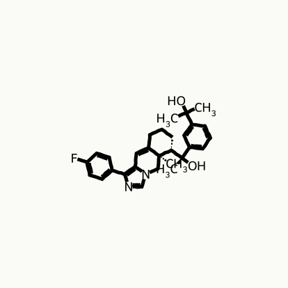 CC(C)(O)c1cccc([C@](C)(O)[C@H]2CCCC3=Cc4c(-c5ccc(F)cc5)ncn4C[C@@]32C)c1